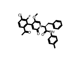 COc1cn([C@@H](Cc2ccccc2)C(=O)Nc2ccc(C)cc2)c(=O)cc1-c1c(C(C)=O)ccc(Cl)c1F